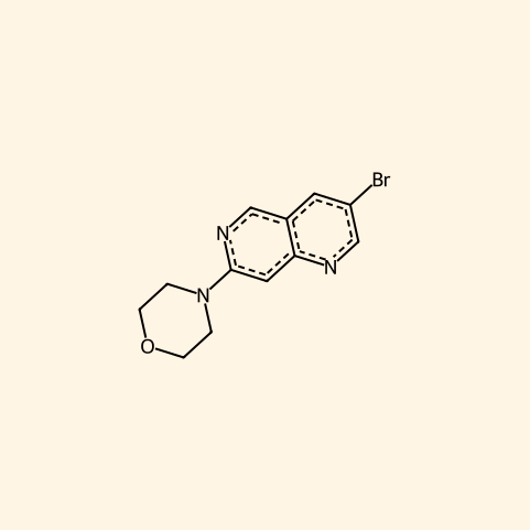 Brc1cnc2cc(N3CCOCC3)ncc2c1